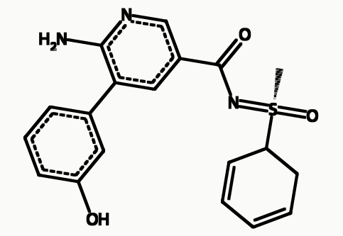 C[S@@](=O)(=NC(=O)c1cnc(N)c(-c2cccc(O)c2)c1)C1C=CC=CC1